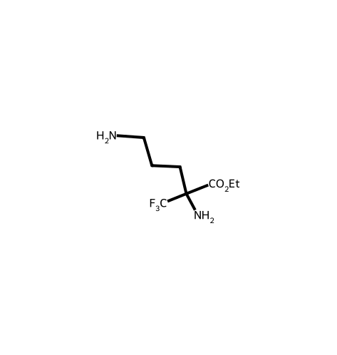 CCOC(=O)C(N)(CCCN)C(F)(F)F